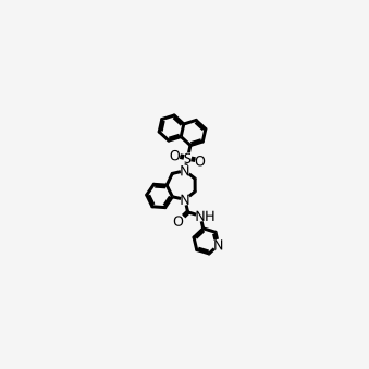 O=C(Nc1cccnc1)N1CCN(S(=O)(=O)c2cccc3ccccc23)Cc2ccccc21